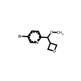 COC(c1ccc(Br)cn1)C1COC1